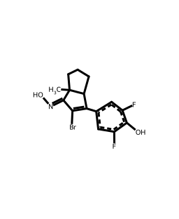 CC12CCCC1C(c1cc(F)c(O)c(F)c1)=C(Br)/C2=N/O